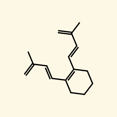 C=C(C)C=CC1=C(C=CC(=C)C)CCCC1